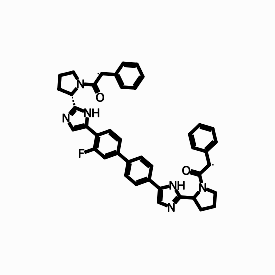 O=C([CH]c1ccccc1)N1CCCC1c1ncc(-c2ccc(-c3ccc(-c4cnc([C@@H]5CCCN5C(=O)[CH]c5ccccc5)[nH]4)c(F)c3)cc2)[nH]1